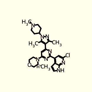 Cc1nn(C2CCN(C)CC2)c(C)c1-c1cc(N2CCOC[C@H]2C)nc(-c2cc(Cl)nc3[nH]ccc23)n1